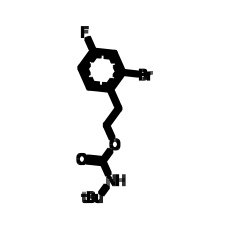 CC(C)(C)NC(=O)OCCc1ccc(F)cc1Br